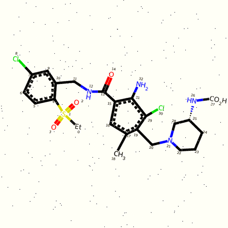 CCS(=O)(=O)c1ccc(Cl)cc1CNC(=O)c1cc(C)c(CN2CCC[C@@H](NC(=O)O)C2)c(Cl)c1N